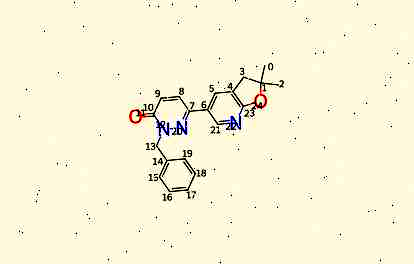 CC1(C)Cc2cc(-c3ccc(=O)n(Cc4ccccc4)n3)cnc2O1